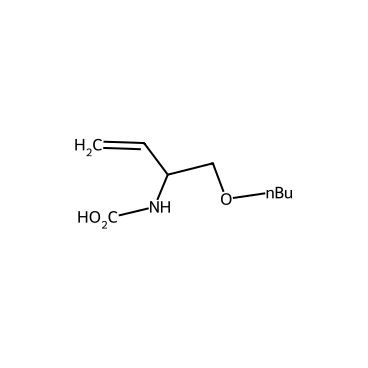 C=CC(COCCCC)NC(=O)O